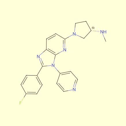 CN[C@H]1CCN(c2ccc3nc(-c4ccc(F)cc4)n(-c4ccncc4)c3n2)C1